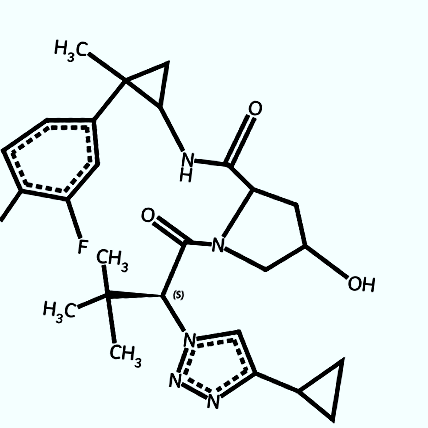 CC1(c2ccc(F)c(F)c2)CC1NC(=O)C1CC(O)CN1C(=O)[C@@H](n1cc(C2CC2)nn1)C(C)(C)C